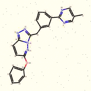 Cc1cnc(-c2cccc(Cc3nnc4ccc(Oc5ccccc5)nn34)c2)nc1